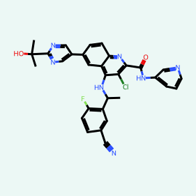 CC(Nc1c(Cl)c(C(=O)Nc2cccnc2)nc2ccc(-c3cnc(C(C)(C)O)nc3)cc12)c1cc(C#N)ccc1F